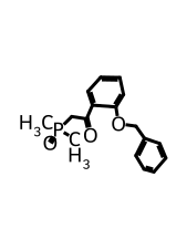 CP(C)(=O)CC(=O)c1ccccc1OCc1ccccc1